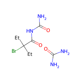 CCC(Br)(CC)C(=O)NC(N)=O.NC(N)=O